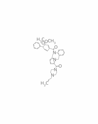 C=CCN1CCN(C(=O)c2ccc3n2Cc2ccccc2N(C(=O)C2=CC(OC)(OC)C(c4ccccc4)C=C2)C3)CC1